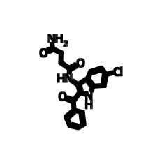 NC(=O)CCC(=O)Nc1c(C(=O)c2ccccc2)[nH]c2cc(Cl)ccc12